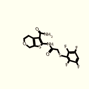 NC(=O)c1c(NC(=O)CSc2c(F)c(F)cc(F)c2F)sc2c1CCOC2